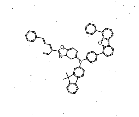 C=C/C(=C\C=C\c1ccccc1)C1=NC2CC(N(c3ccc(-c4cccc5c4oc4c(-c6ccccc6)cccc45)cc3)c3ccc4c(c3)C(C)(C)c3ccccc3-4)=CC=C2O1